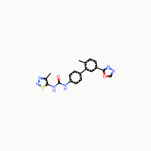 Cc1ccc(-c2nnco2)cc1-c1ccc(NC(=O)Nc2snnc2C)cc1